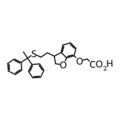 CC(SCCC1COc2c(OCC(=O)O)cccc21)(c1ccccc1)c1ccccc1